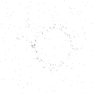 CC[C@H](C)[C@@H]1NC(=O)[C@H](CC(C)C)N(C)C(=O)C[C@@H](C(=O)N2CCCCC2)N(C)C(=O)[C@H](C2CCCCC2)N(C)C(=O)C2(CCCC2)NC(=O)[C@@H]2C[C@H](OCc3cccnc3)CN2C(=O)[C@H](CCc2ccc(C(F)(F)F)c(Cl)c2)NC(=O)CN(C)C(=O)[C@H](CC2CCCCC2)N(C)C(=O)CN(C)C(=O)CN(C)C1=O